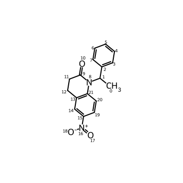 CC(c1ccccc1)N1C(=O)CCc2cc([N+](=O)[O-])ccc21